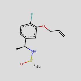 C=CCOc1cc([C@H](C)N[S@@+]([O-])CCCC)ccc1F